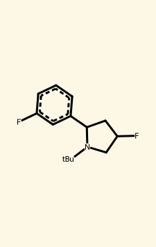 CC(C)(C)N1CC(F)CC1c1cccc(F)c1